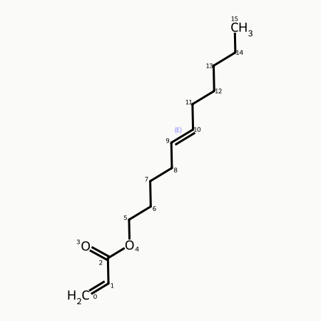 C=CC(=O)OCCCC/C=C/CCCCC